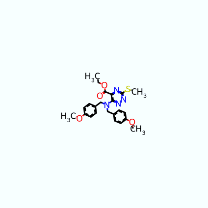 CCOC(=O)c1nc(SC)nnc1N(Cc1ccc(OC)cc1)Cc1ccc(OC)cc1